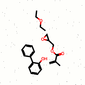 C=C(C)C(=O)OCC1CO1.CCOCC.Oc1ccccc1-c1ccccc1